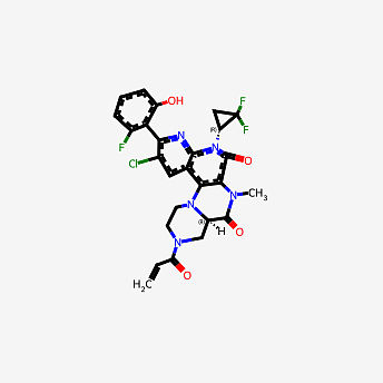 C=CC(=O)N1CCN2c3c(c(=O)n([C@@H]4CC4(F)F)c4nc(-c5c(O)cccc5F)c(Cl)cc34)N(C)C(=O)[C@H]2C1